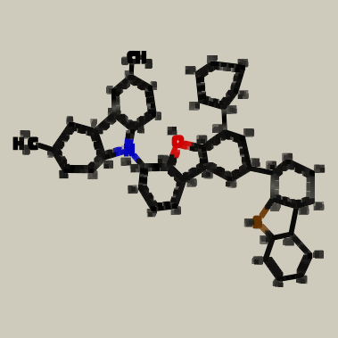 Cc1ccc2c(c1)c1cc(C)ccc1n2-c1cccc2c1oc1c(-c3ccccc3)cc(-c3cccc4c3SC3C=CC=CC43)cc12